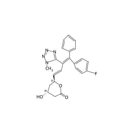 Cn1nnnc1C(C=C[C@@H]1C[C@@H](O)CC(=O)O1)=C(c1ccccc1)c1ccc(F)cc1